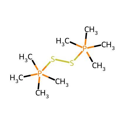 CP(C)(C)(C)SSP(C)(C)(C)C